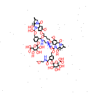 C=C1C[C@H]2C(O)N(C(=O)OCc3ccc(O[C@@H]4O[C@H](C(=O)O)[C@@H](O)[C@H](O)[C@H]4O)c(C(=O)NCCOC)c3)c3cc(OCCCCCOc4cc5c(cc4OC)C(=O)N4CC(=C)C[C@H]4C(O)N5C(O)OCc4ccc(O[C@@H]5O[C@H](C(=O)O)[C@@H](O)[C@H](O)[C@H]5O)c(C(=O)NCCN=[N+]=[N-])c4)c(OC)cc3C(=O)N2C1